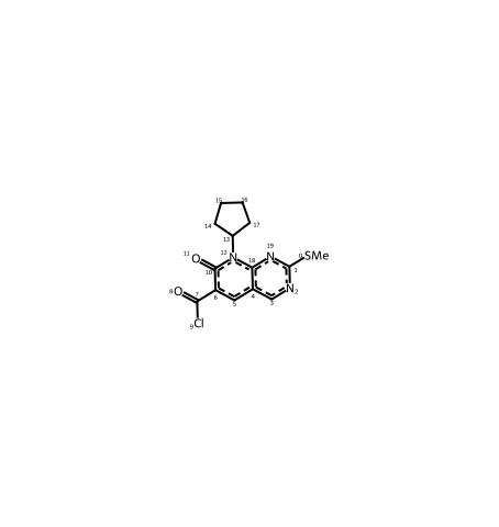 CSc1ncc2cc(C(=O)Cl)c(=O)n(C3CCCC3)c2n1